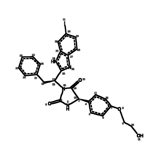 O=C1N[C@H](c2ccc(OCCO)cc2)C(=O)N1[C@@H](Cc1ccccc1)c1nc2ccc(I)cc2[nH]1